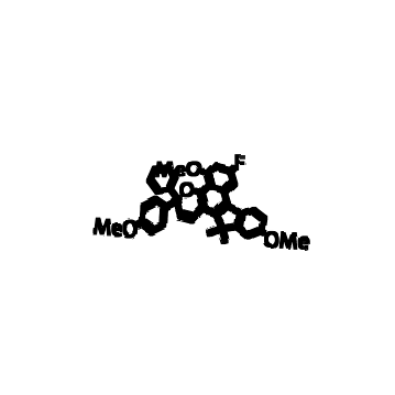 COc1ccc(C2(c3ccccc3)C=Cc3c4c(c5cc(F)cc(OC)c5c3O2)-c2ccc(OC)cc2C4(C)C)cc1